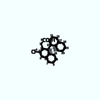 O=C(O)Cc1c(Cl)cc2ccccc2c1-c1cccc2ccccc12